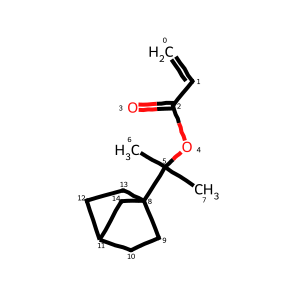 C=CC(=O)OC(C)(C)C12CCC(CC1)C2